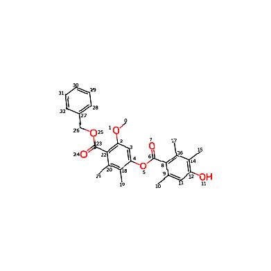 COc1cc(OC(=O)c2c(C)cc(O)c(C)c2C)c(C)c(C)c1C(=O)OCc1ccccc1